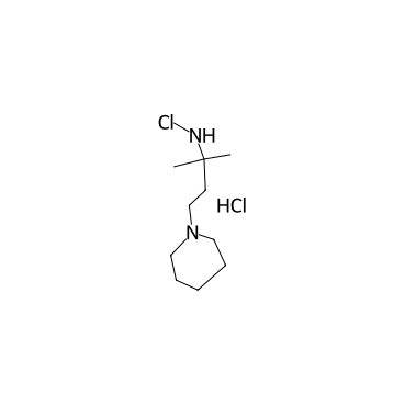 CC(C)(CCN1CCCCC1)NCl.Cl